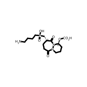 NCCCCP(=O)(O)C[C@H]1CCC(=O)N2CCC[C@H](OC(=O)O)N2C1=O